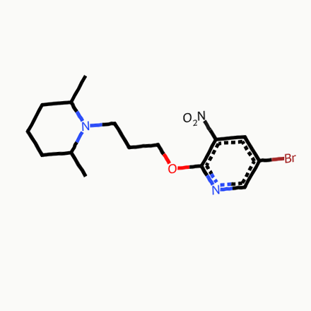 CC1CCCC(C)N1CCCOc1ncc(Br)cc1[N+](=O)[O-]